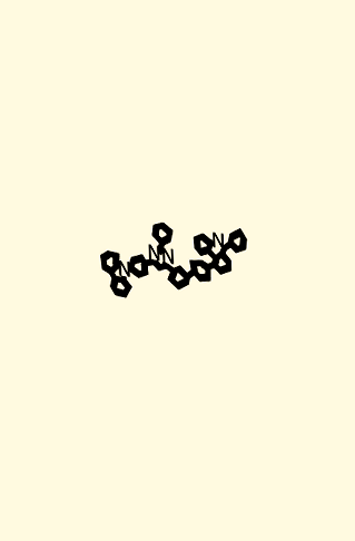 c1ccc(-c2nc(-c3ccc(-n4c5ccccc5c5ccccc54)cc3)cc(-c3cccc(-c4ccc(-c5cccc6c(-c7ccccc7)nc7ccccc7c56)cc4)c3)n2)cc1